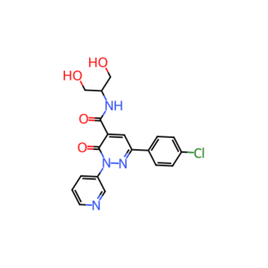 O=C(NC(CO)CO)c1cc(-c2ccc(Cl)cc2)nn(-c2cccnc2)c1=O